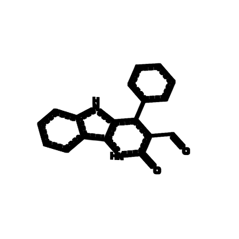 O=Cc1c(-c2ccccc2)c2[nH]c3ccccc3c2[nH]c1=O